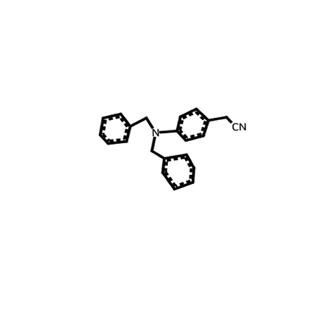 N#CCc1ccc(N(Cc2ccccc2)Cc2ccccc2)cc1